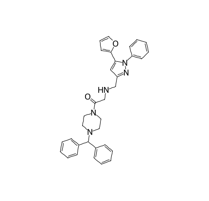 O=C(CNCc1cc(-c2ccco2)n(-c2ccccc2)n1)N1CCN(C(c2ccccc2)c2ccccc2)CC1